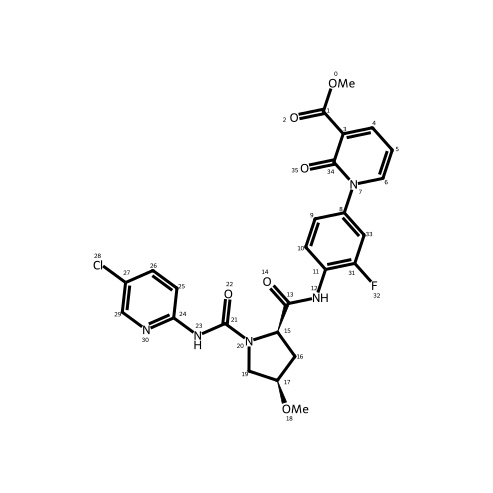 COC(=O)c1cccn(-c2ccc(NC(=O)[C@H]3C[C@@H](OC)CN3C(=O)Nc3ccc(Cl)cn3)c(F)c2)c1=O